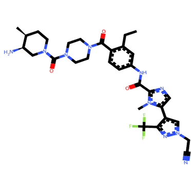 CCc1cc(NC(=O)c2ncc(-c3cn(CC#N)nc3C(F)(F)F)n2C)ccc1C(=O)N1CCN(C(=O)N2CC[C@H](C)[C@H](N)C2)CC1